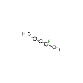 CC#Cc1ccc(-c2ccc(-c3ccc(CCC)cc3)cc2)cc1F